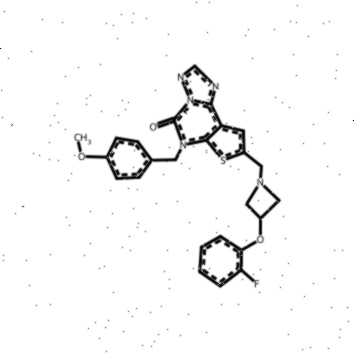 COc1ccc(Cn2c(=O)n3ncnc3c3cc(CN4CC(Oc5ccccc5F)C4)sc32)cc1